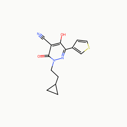 N#Cc1c(O)c(-c2ccsc2)nn(CCC2CC2)c1=O